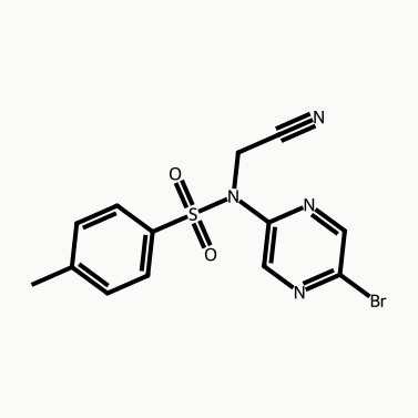 Cc1ccc(S(=O)(=O)N(CC#N)c2cnc(Br)cn2)cc1